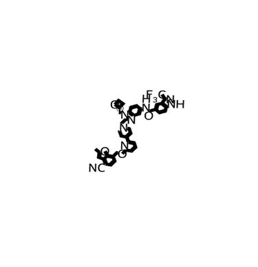 Cc1cc2c(C#N)ccc(COc3cccc(C4=CCN(Cc5nc6cc(NC(=O)c7ccc8[nH]nc(C(F)(F)F)c8c7)ccc6n5C[C@@H]5CCO5)CC4)n3)c2o1